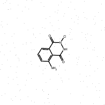 Nc1cccc2c(=O)n(Cl)[nH]c(=O)c12